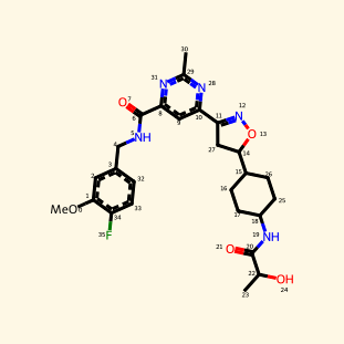 COc1cc(CNC(=O)c2cc(C3=NOC(C4CCC(NC(=O)C(C)O)CC4)C3)nc(C)n2)ccc1F